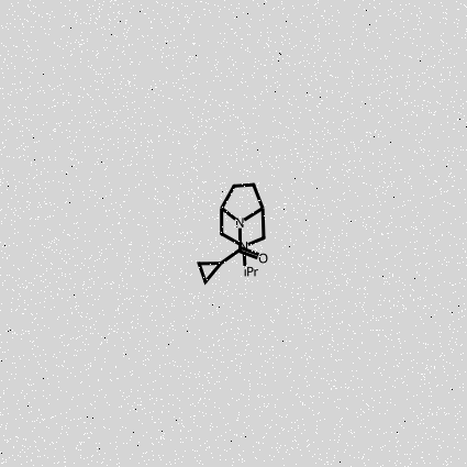 CC(C)N1CC2CCC(C1)N2C(=O)C1CC1